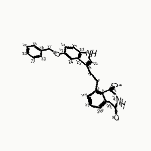 O=C1NC(=O)c2c(CCc3c[nH]c4ccc(OCc5ccccc5)cc34)cccc21